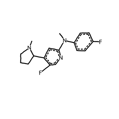 CN(c1ccc(F)cc1)c1cc(C2CCCN2C)c(F)cn1